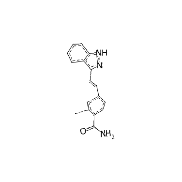 Cc1cc(C=Cc2n[nH]c3ccccc23)ccc1C(N)=O